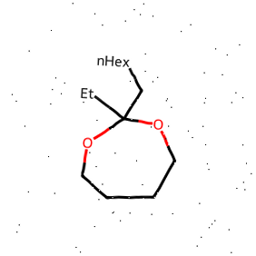 CCCCCCCC1(CC)OCCCCO1